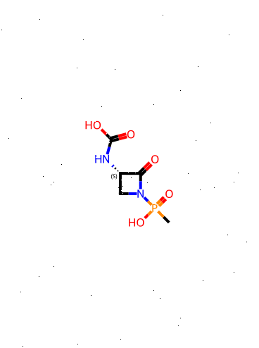 CP(=O)(O)N1C[C@H](NC(=O)O)C1=O